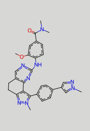 COc1cc(C(=O)N(C)C)ccc1Nc1ncc2c(n1)-c1c(nn(C)c1-c1ccc(-c3cnn(C)c3)cc1)CC2